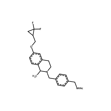 CC(=O)NCc1ccc(CN2CCc3cc(OCC4CC4(F)F)ccc3C2C)cc1